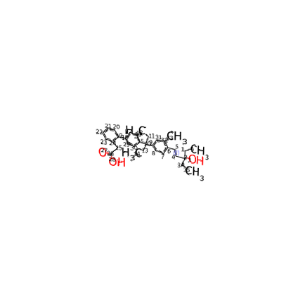 CCC(O)(/C=C/c1ccc(C(CC)(CC)c2ccc(-c3ccccc3CC(=O)O)cc2)cc1C)CC